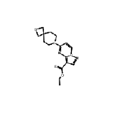 CCOC(=O)c1cnn2ccc(N3CCC4(CC3)COC4)nc12